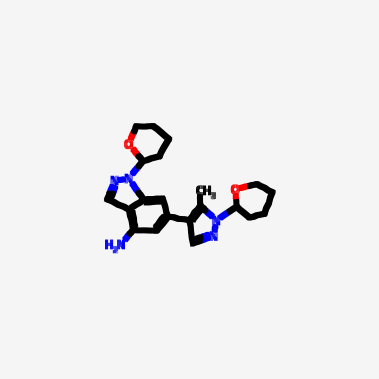 Cc1c(-c2cc(N)c3cnn(C4CCCCO4)c3c2)cnn1C1CCCCO1